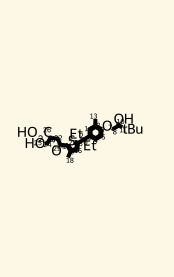 CCC(CC)(c1ccc(OCC(O)C(C)(C)C)c(C)c1)c1cc(C)c(C(=O)C[C@@H](CO)C(=O)O)s1